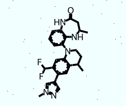 CC1CC(=O)Nc2cccc(N3CCC(C)c4cc(-c5cnn(C)c5)c(C(F)F)cc43)c2N1